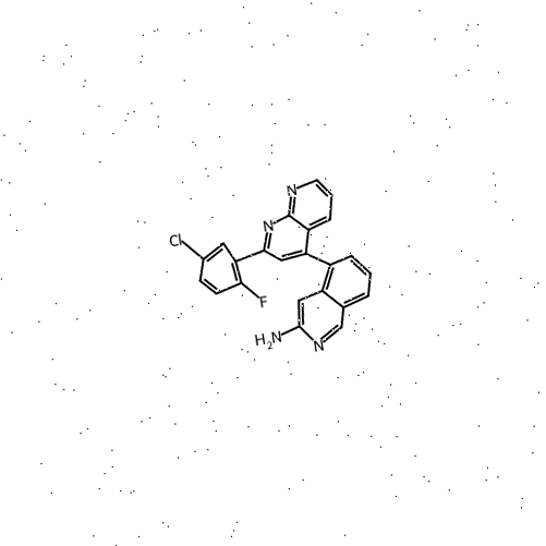 Nc1cc2c(-c3cc(-c4cc(Cl)ccc4F)nc4ncccc34)cccc2cn1